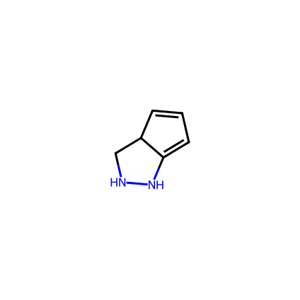 C1=CC2CNNC2=C1